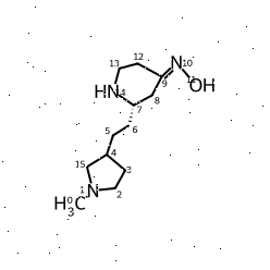 CN1CCC(CC[C@H]2CC(=NO)CCN2)C1